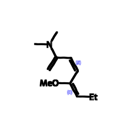 C=C(/C=C\C(=C/CC)OC)N(C)C